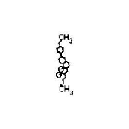 CCCCCc1cc2ccc3cc(-c4ccc(CCC)cc4)ccc3c2oc1=O